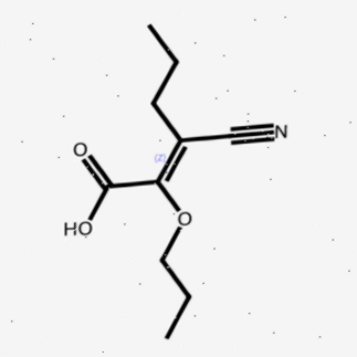 CCCO/C(C(=O)O)=C(\C#N)CCC